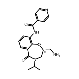 CC(C)N1C[C@@H](CN)Oc2c(NC(=O)c3ccncc3)cccc2C1=O